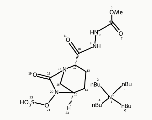 CCCC[N+](CCCC)(CCCC)CCCC.COC(=O)NNC(=O)[C@@H]1CC[C@@H]2CN1C(=O)N2OS(=O)(=O)O